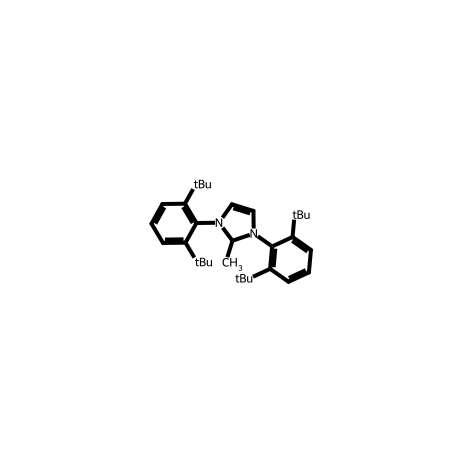 CC1N(c2c(C(C)(C)C)cccc2C(C)(C)C)C=CN1c1c(C(C)(C)C)cccc1C(C)(C)C